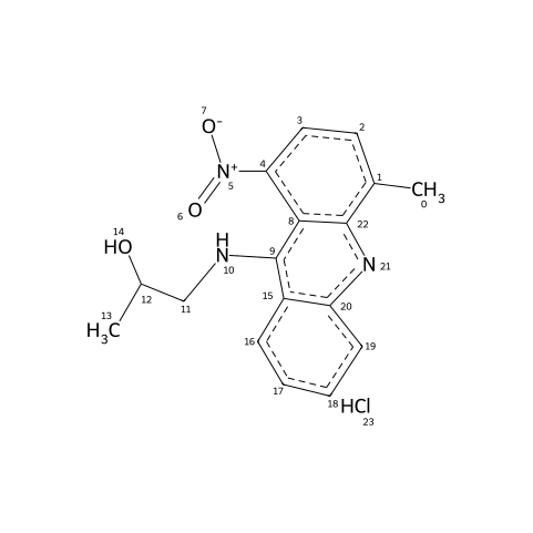 Cc1ccc([N+](=O)[O-])c2c(NCC(C)O)c3ccccc3nc12.Cl